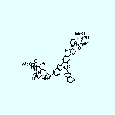 COC(=O)N[C@H](C(=O)N1CCC[C@H]1c1ncc(-c2ccc3c(c2)OC(c2cc4sccc4s2)n2c-3cc3cc(-c4c[nH]c([C@@H]5C[C@H]6C[C@H]6N5C(=O)[C@@H](NC(=O)OC)C(C)C)n4)ccc32)[nH]1)C(C)C